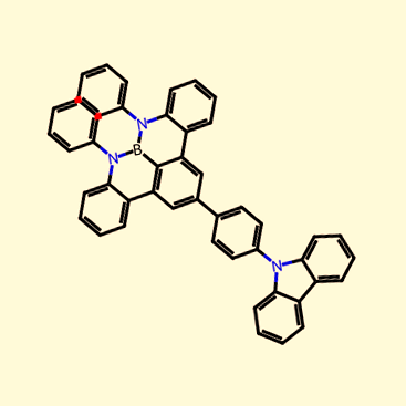 c1ccc(N2B3c4c(cc(-c5ccc(-n6c7ccccc7c7ccccc76)cc5)cc4-c4ccccc4N3c3ccccc3)-c3ccccc32)cc1